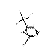 FC(F)(F)c1ccnc(Br)n1